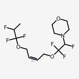 CC(F)C(F)(F)OC/C=C\COC(F)(F)C(F)N1CCOCC1